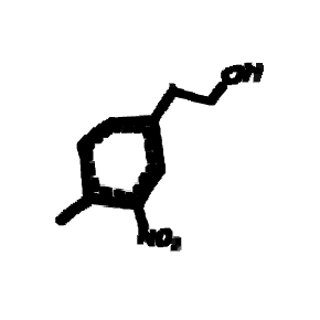 Cc1ccc([CH]CO)cc1[N+](=O)[O-]